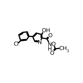 CC(=O)ONC(=O)c1ncc(-c2cccc(Cl)c2)cc1O